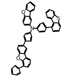 c1ccc(-c2cccc3c2oc2ccc(-c4ccc(N(c5ccc(-c6cccc7sc8ccccc8c67)cc5)c5ccc6oc7ccccc7c6c5)cc4)cc23)cc1